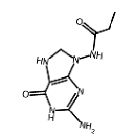 CCC(=O)NN1CNc2c1nc(N)[nH]c2=O